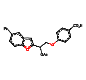 CC(=O)OC(COc1ccc(C(=O)O)cc1)c1cc2cc(C(C)C)ccc2o1